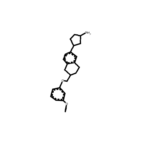 COc1cccc(OCC2CCc3cc(C4CCC(N)C4)ccc3C2)c1